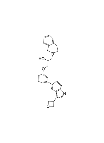 OC(COc1cccc(-c2ccc3ncn(C4COC4)c3c2)c1)CN1CCc2ccccc2C1